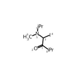 CC(C)C(=O)C(I)N(C)C(C)C